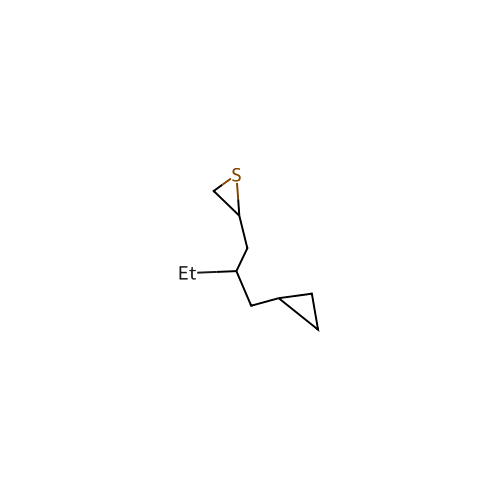 CCC(CC1CC1)CC1CS1